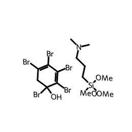 CO[Si](CCCN(C)C)(OC)OC.OC1(Br)CC(Br)=C(Br)C(Br)=C1Br